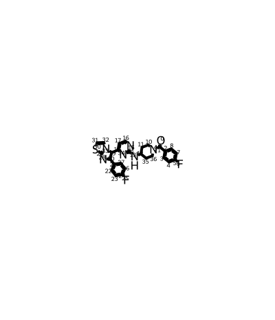 O=C(c1ccc(F)cc1)N1CCC(Nc2nccc(C3C(c4ccc(F)cc4)N=C4SC=CN43)n2)CC1